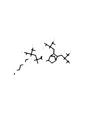 COCCOCOC(CC(C)(F)C(=O)OC1CC2CC1C(CC(O)(C(F)(F)F)C(F)(F)F)C2CC(O)(C(F)(F)F)C(F)(F)F)(C(F)(F)F)C(F)(F)F